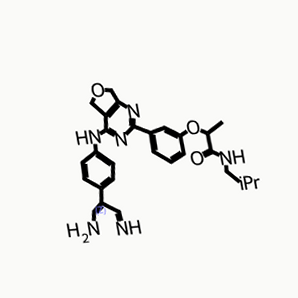 CC(C)CNC(=O)C(C)Oc1cccc(-c2nc3c(c(Nc4ccc(/C(C=N)=C/N)cc4)n2)COC3)c1